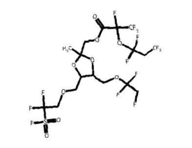 CC1(COC(=O)C(F)(OC(F)(F)CC(F)(F)F)C(F)(F)F)OC(COCC(F)(F)S(=O)(=O)F)C(COC(F)(F)CF)O1